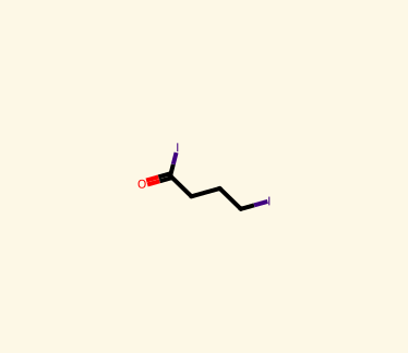 O=C(I)CCCI